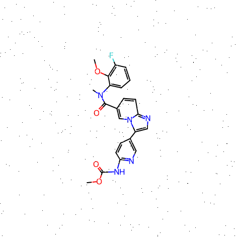 COC(=O)Nc1ccc(-c2cnc3ccc(C(=O)N(C)c4cccc(F)c4OC)cn23)cn1